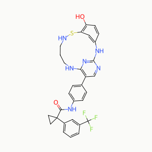 O=C(Nc1ccc(-c2cnc3nc2NCCCNSc2cc(ccc2O)N3)cc1)C1(c2cccc(C(F)(F)F)c2)CC1